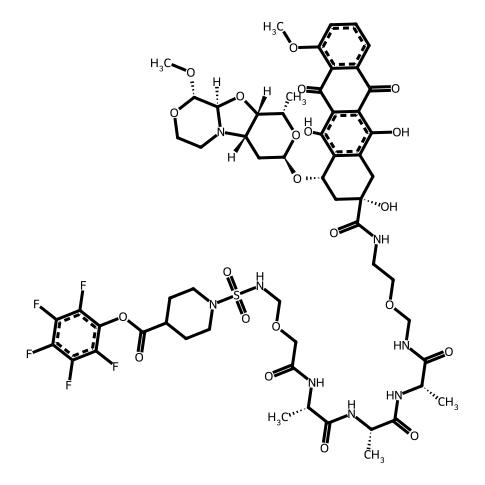 COc1cccc2c1C(=O)c1c(O)c3c(c(O)c1C2=O)C[C@@](O)(C(=O)NCCOCNC(=O)[C@H](C)NC(=O)[C@H](C)NC(=O)[C@H](C)NC(=O)COCNS(=O)(=O)N1CCC(C(=O)Oc2c(F)c(F)c(F)c(F)c2F)CC1)C[C@@H]3O[C@H]1C[C@H]2[C@H](O[C@@H]3[C@@H](OC)OCCN32)[C@H](C)O1